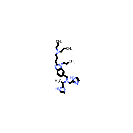 CCCN(CCC)CCCc1nc2ccc(CN(Cc3ncc[nH]3)C(C)c3ncc[nH]3)cc2n1CCC